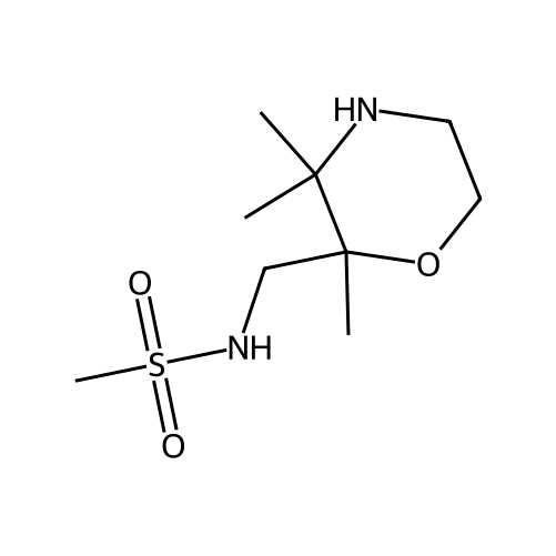 CC1(C)NCCOC1(C)CNS(C)(=O)=O